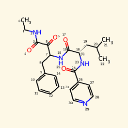 CCNC(=O)C(=O)C(Cc1ccccc1)NC(=O)[C@H](CC(C)C)NC(=O)c1ccncc1